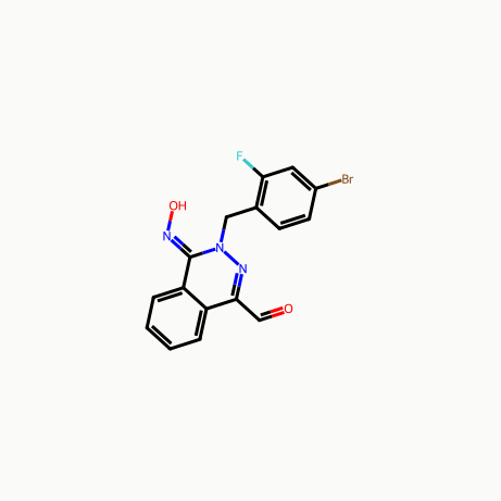 O=Cc1nn(Cc2ccc(Br)cc2F)c(=NO)c2ccccc12